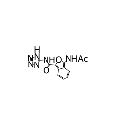 CC(=O)Nc1oc(C(=O)Nc2nnn[nH]2)c2ccccc12